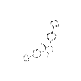 O=C(C(CF)c1ccc(-c2cccs2)cc1)C(CF)c1ccc(-c2cccs2)cc1